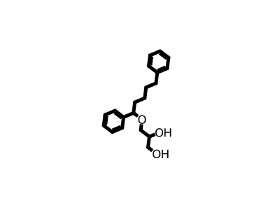 OCC(O)COC(CCCCc1ccccc1)c1ccccc1